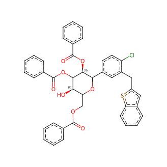 O=C(OCC1OC(c2ccc(Cl)c(Cc3cc4ccccc4s3)c2)[C@H](OC(=O)c2ccccc2)C(OC(=O)c2ccccc2)[C@@H]1O)c1ccccc1